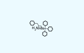 NC(CNC(c1ccccc1)(c1ccccc1)c1ccccc1)Cc1ccccc1